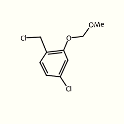 COCOc1cc(Cl)ccc1CCl